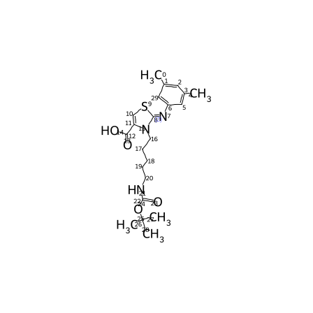 Cc1cc(C)cc(/N=c2\scc(C(=O)O)n2CCCCCNC(=O)OC(C)(C)C)c1